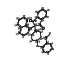 COc1ccccc1CN1CCN(C2(c3ccnc4ccccc34)C(=O)c3ccccc3C2=O)CC1